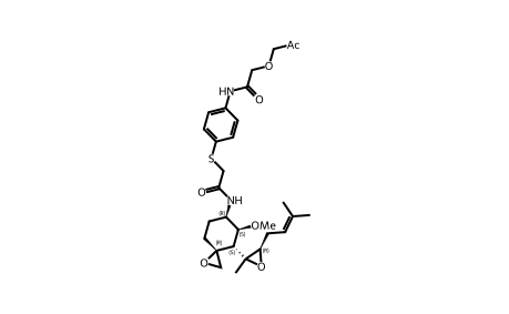 CO[C@H]1[C@H](C2(C)O[C@@H]2CC=C(C)C)[C@]2(CC[C@H]1NC(=O)CSc1ccc(NC(=O)COCC(C)=O)cc1)CO2